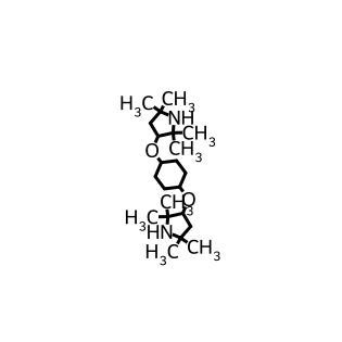 CC1(C)CC(OC2CCC(OC3CC(C)(C)NC3(C)C)CC2)C(C)(C)N1